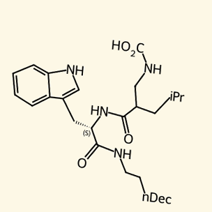 CCCCCCCCCCCCNC(=O)[C@H](Cc1c[nH]c2ccccc12)NC(=O)C(CNC(=O)O)CC(C)C